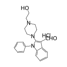 Cl.O=Cc1c(N2CCN(CCO)CC2)n(-c2ccccc2)c2ccccc12